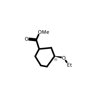 CCO[C@H]1CCCC(C(=O)OC)C1